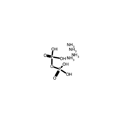 N.N.N.N.O=P(O)(O)OP(=O)(O)O